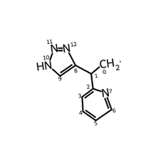 [CH2]C(c1ccccn1)c1c[nH]nn1